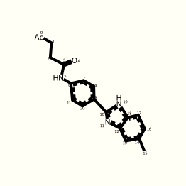 CC(=O)CCC(=O)Nc1ccc(-c2nc3cc(C)ccc3[nH]2)cc1